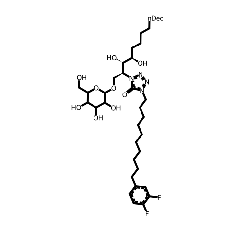 CCCCCCCCCCCCCC[C@@H](O)[C@@H](O)[C@H](COC1OC(CO)C(O)C(O)C1O)n1nnn(CCCCCCCCCCc2ccc(F)c(F)c2)c1=O